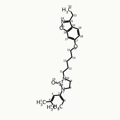 C/C=C(\C=C(C)C)N1CCN(CCCCCOc2ccc3c(CC)noc3c2)[S+]1[O-]